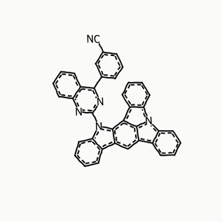 N#Cc1cccc(-c2nc(-n3c4ccccc4c4cc5c6ccccc6n6c7ccccc7c(c43)c56)nc3ccccc23)c1